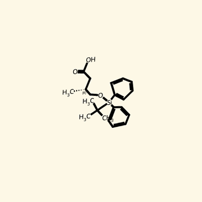 C[C@@H](CO[Si](c1ccccc1)(c1ccccc1)C(C)(C)C)CC(=O)O